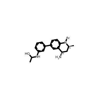 CC(=O)N1c2ccc(-c3cccc(NC(C)O)c3)cc2[C@H](N)C[C@@H]1C